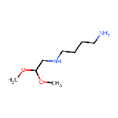 COC(CNCCCCN)OC